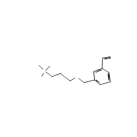 C=Cc1cccc(COCCC[Si](Cl)(Cl)Cl)c1